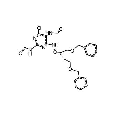 O=CNc1nc(Cl)c(NC=O)c(NO[C@@H](CCOCc2ccccc2)COCc2ccccc2)n1